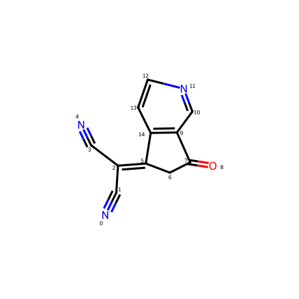 N#CC(C#N)=C1CC(=O)c2cnccc21